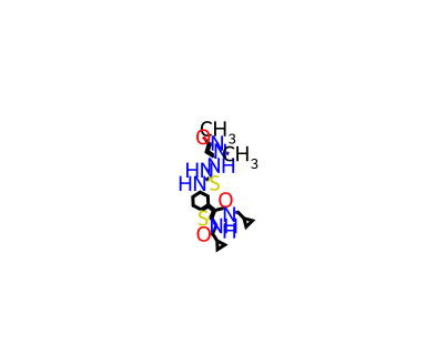 COc1cc(NNC(=S)N[C@H]2CCc3sc(NC(=O)C4CC4)c(C(=O)NCC4CC4)c3C2)n(C)n1